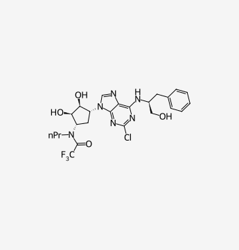 CCCN(C(=O)C(F)(F)F)[C@H]1C[C@@H](n2cnc3c(N[C@H](CO)Cc4ccccc4)nc(Cl)nc32)[C@H](O)[C@@H]1O